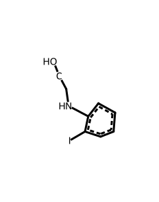 OCCNc1ccccc1I